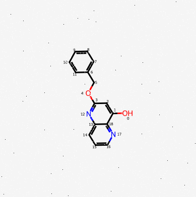 Oc1cc(OCc2ccccc2)nc2cccnc12